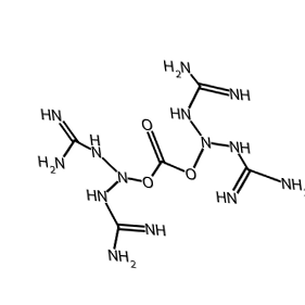 N=C(N)NN(NC(=N)N)OC(=O)ON(NC(=N)N)NC(=N)N